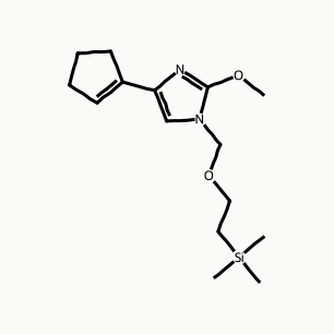 COc1nc(C2=CCCC2)cn1COCC[Si](C)(C)C